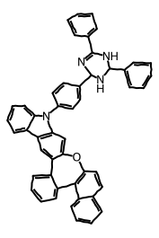 c1ccc(C2=NC(c3ccc(-n4c5ccccc5c5cc6c(cc54)Oc4ccc5ccccc5c4-c4ccccc4-6)cc3)NC(c3ccccc3)N2)cc1